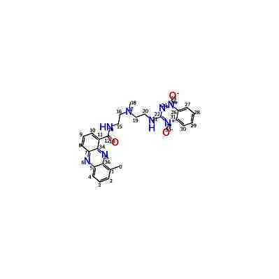 Cc1cccc2nc3cccc(C(=O)NCCN(C)CCNc4n[n+]([O-])c5ccccc5[n+]4[O-])c3nc12